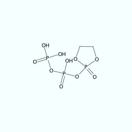 O=P(O)(O)OP(=O)(O)OP1(=O)OCCO1